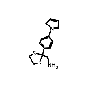 NCC1(c2ccc(N3CC=CC3)cc2)SCCS1